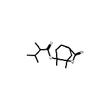 CC(C)C(C)C(=O)OC1(C)CCC2CC1(C)OC2=O